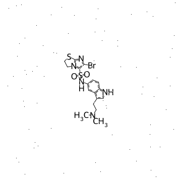 CN(C)CCc1c[nH]c2ccc(NS(=O)(=O)c3c(Br)nc4n3CCS4)cc12